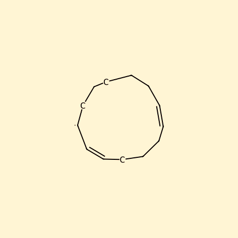 [CH]1C=CCCCC=CCCCCC1